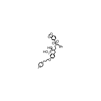 CC(C)CN(CCC(Cc1ccc(OCCCN2CCN(C)CC2)cc1)N(O)C(=O)O)S(=O)(=O)c1ccc2c(c1)OCO2